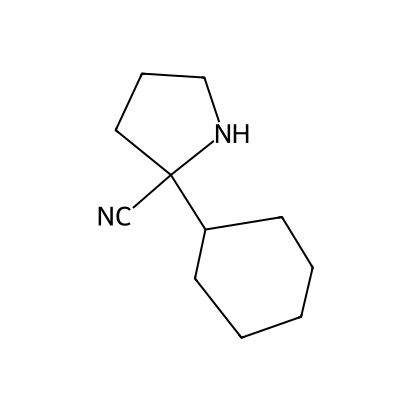 N#CC1(C2CCCCC2)CCCN1